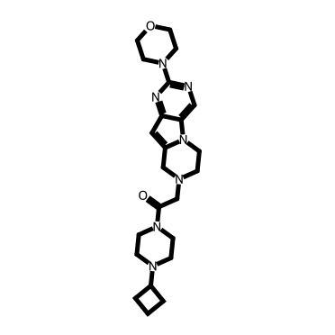 O=C(CN1CCn2c(cc3nc(N4CCOCC4)ncc32)C1)N1CCN(C2CCC2)CC1